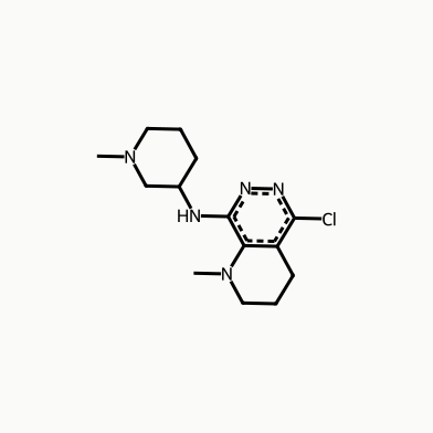 CN1CCCC(Nc2nnc(Cl)c3c2N(C)CCC3)C1